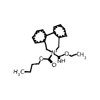 CCCCOC(=O)[N+]1(C(=N)OCC)Cc2ccccc2-c2ccccc2C1